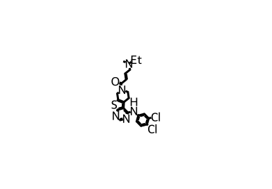 CCN(C)CC=CC(=O)N1CCc2c(sc3ncnc(Nc4ccc(Cl)c(Cl)c4)c23)C1